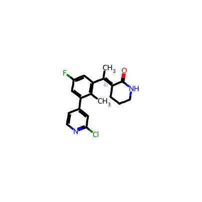 C/C(=C1/CCCNC1=O)c1cc(F)cc(-c2ccnc(Cl)c2)c1C